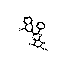 CSc1cc(=O)c2nc(-c3cc(Cl)c4ncccc4c3)c(-c3ccccc3)nc2[nH]1